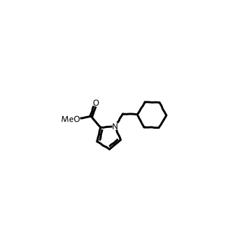 COC(=O)c1cccn1CC1CCCCC1